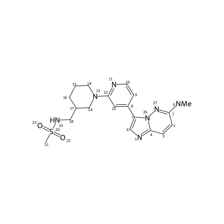 CNc1ccc2ncc(-c3ccnc(N4CCCC(CNS(C)(=O)=O)C4)c3)n2n1